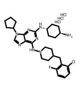 Cl.Cl.Cl.N[C@H]1CC[C@H](Nc2nc(NN3CCC(Cc4c(F)cccc4Cl)CC3)c3ncn(C4CCCC4)c3n2)CC1